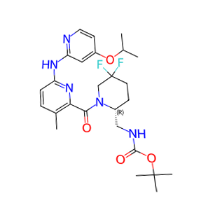 Cc1ccc(Nc2cc(OC(C)C)ccn2)nc1C(=O)N1CC(F)(F)CC[C@@H]1CNC(=O)OC(C)(C)C